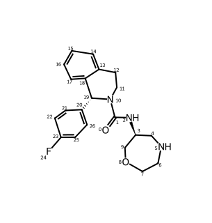 O=C(N[C@H]1CNCCOC1)N1CCc2ccccc2[C@H]1c1ccc(F)cc1